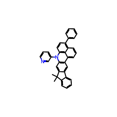 CC1(C)c2ccccc2-c2cc3c(cc21)N(c1cccnc1)c1ccc(-c2ccccc2)c2cccc-3c12